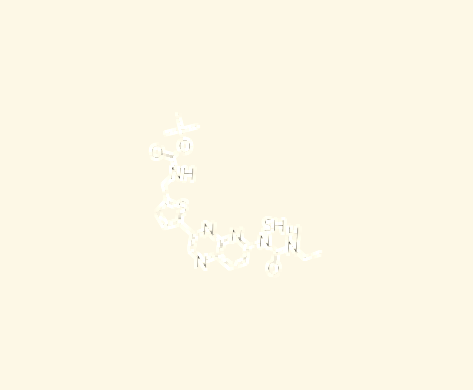 CCNC(=O)N(S)c1ccc2ncc(-c3ccc(CNC(=O)OC(C)(C)C)s3)nc2n1